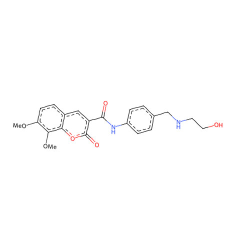 COc1ccc2cc(C(=O)Nc3ccc(CNCCO)cc3)c(=O)oc2c1OC